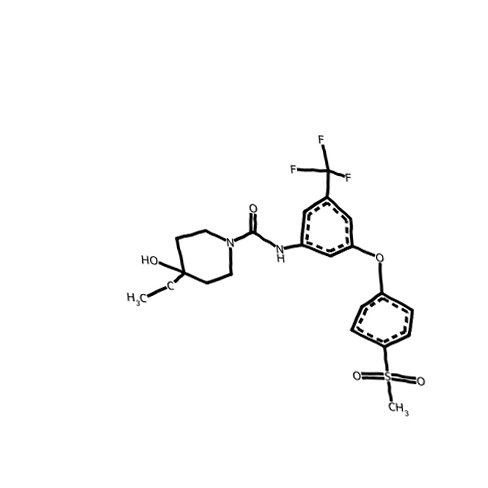 CCC1(O)CCN(C(=O)Nc2cc(Oc3ccc(S(C)(=O)=O)cc3)cc(C(F)(F)F)c2)CC1